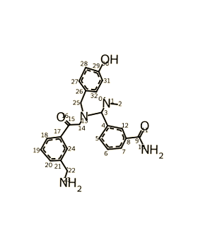 CN(C)C(c1cccc(C(N)=O)c1)N(CC(=O)c1cccc([CH]N)c1)Cc1ccc(O)cc1